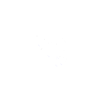 CCC1N=C(c2ccc(C(C)C)nc2)c2c(sc(C)c2C)-n2c(C)nnc21